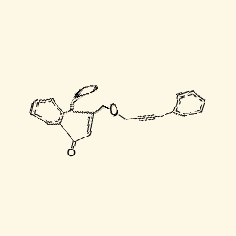 O=C1C=C(OCC#Cc2ccccc2)C(=O)c2ccccc21